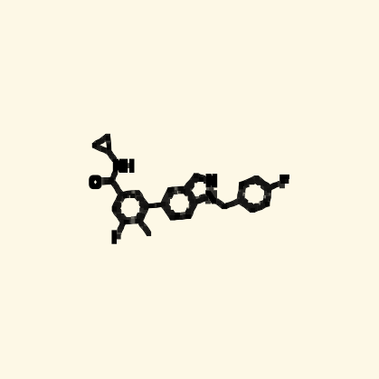 Cc1c(F)cc(C(=O)NC2CC2)cc1-c1ccc2c(cnn2Cc2ccc(F)cc2)c1